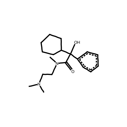 CN(C)CCN(C)C(=O)C(O)(c1ccccc1)C1CCCCC1